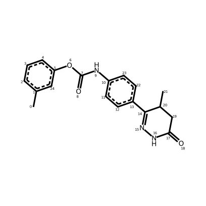 Cc1cccc(OC(=O)Nc2ccc(C3=NNC(=O)CC3C)cc2)c1